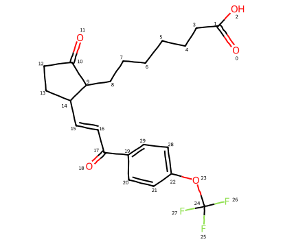 O=C(O)CCCCCCC1C(=O)CCC1C=CC(=O)c1ccc(OC(F)(F)F)cc1